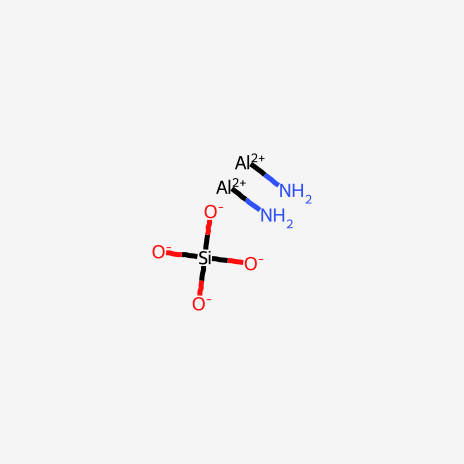 [NH2][Al+2].[NH2][Al+2].[O-][Si]([O-])([O-])[O-]